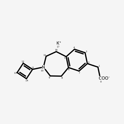 O=C([O-])Cc1ccc2c(c1)CCN(C1=CC=C1)CC2.[K+]